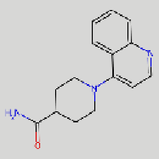 NC(=O)C1CCN(c2ccnc3ccccc23)CC1